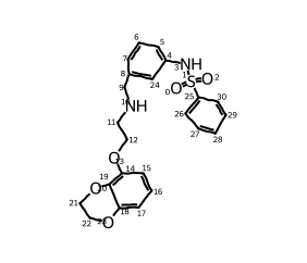 O=S(=O)(Nc1cccc(CNCCOc2cccc3c2OCCO3)c1)c1ccccc1